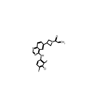 C=CC(=O)N1CC(c2ccc3ncnc(Nc4ccc(F)c(Cl)c4F)c3c2)C1